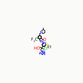 CCSc1cc(C(CO)(CCl)Cc2nncn2C)cc(N2Cc3c(cc(CN4CCCC(C)C4)cc3C(F)(F)F)C2=O)n1